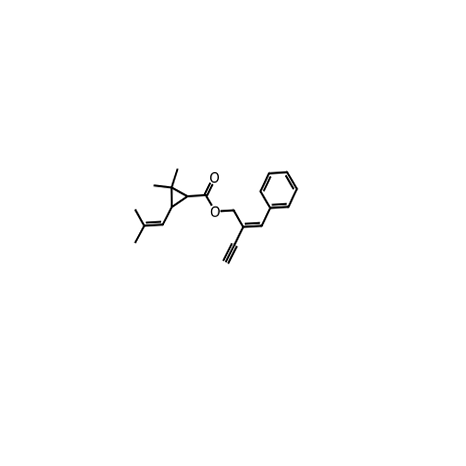 C#CC(=Cc1ccccc1)COC(=O)C1C(C=C(C)C)C1(C)C